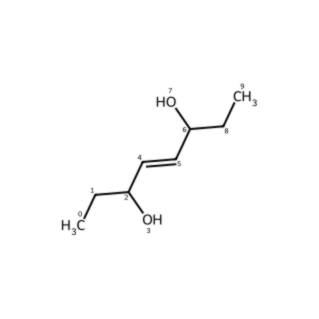 CCC(O)C=CC(O)CC